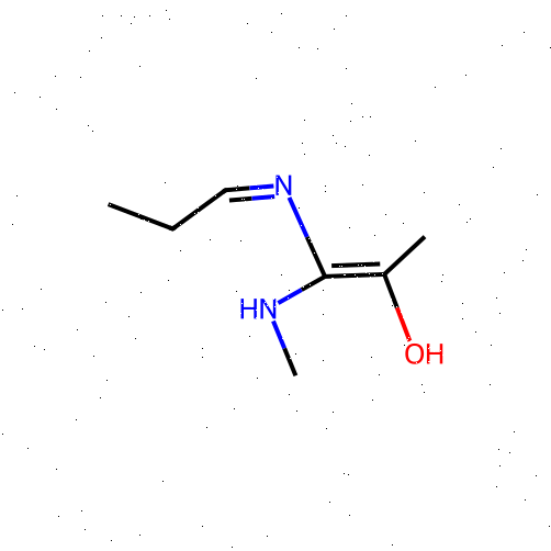 CC/C=N\C(NC)=C(/C)O